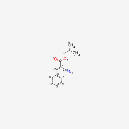 CC(C)COC(=O)/C(C#N)=C/c1ccccc1